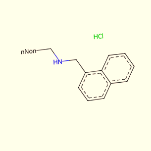 CCCCCCCCCCNCc1cccc2ccccc12.Cl